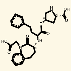 O=C(O)CN1C(=O)[C@H](NC(CCc2ccccc2)C(=O)O[C@H]2CN[C@H](C(=O)O)C2)CCc2ccccc21